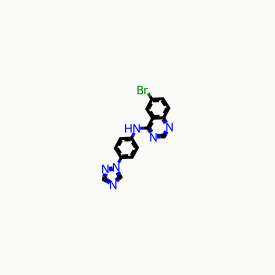 Brc1ccc2ncnc(Nc3ccc(-n4cncn4)cc3)c2c1